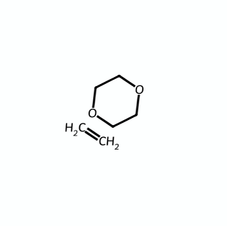 C1COCCO1.C=C